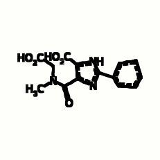 CN(CC(=O)O)C(=O)c1nc(-c2ccccc2)[nH]c1C(=O)O